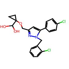 OC(O)C1(OCc2cc(-c3ccc(Cl)cc3)n(Cc3ccccc3Cl)n2)CC1